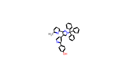 Cc1cccc(-c2nn(C(c3ccccc3)(c3ccccc3)c3ccccc3)cc2-c2ccnc(-c3ccc(O)cc3)c2)n1